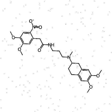 COc1cc2c(cc1OC)CC(N(C)CCCNC(=O)Cc1cc(OC)c(OC)cc1[N+](=O)[O-])CC2